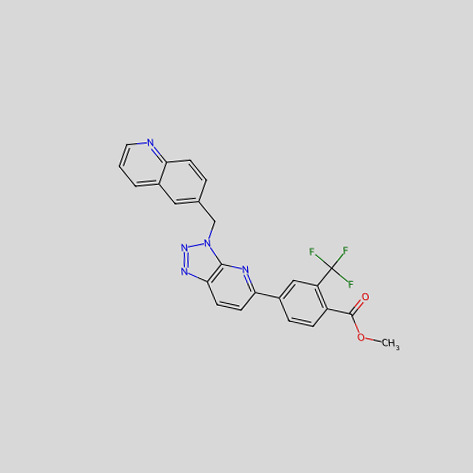 COC(=O)c1ccc(-c2ccc3nnn(Cc4ccc5ncccc5c4)c3n2)cc1C(F)(F)F